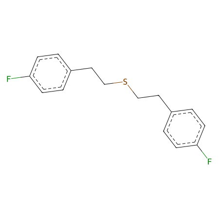 Fc1ccc(CCSCCc2ccc(F)cc2)cc1